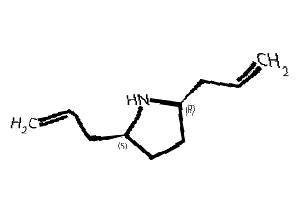 C=CC[C@@H]1CC[C@H](CC=C)N1